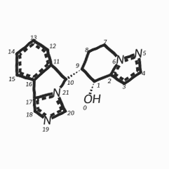 O[C@H]1c2ccnn2CC[C@H]1C1c2ccccc2-c2cncn21